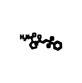 NC(=O)[C@@H]1CCCN1C(=O)/C=C/S(=O)(=O)c1ccccc1